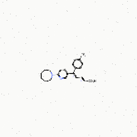 O=C(O)/C=C/C=C(\c1ccc(C(F)(F)F)cc1)c1ccc(N2CCCCCC2)nc1